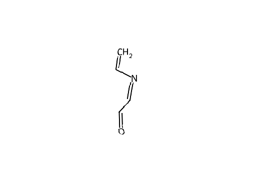 C=C/N=C\C=O